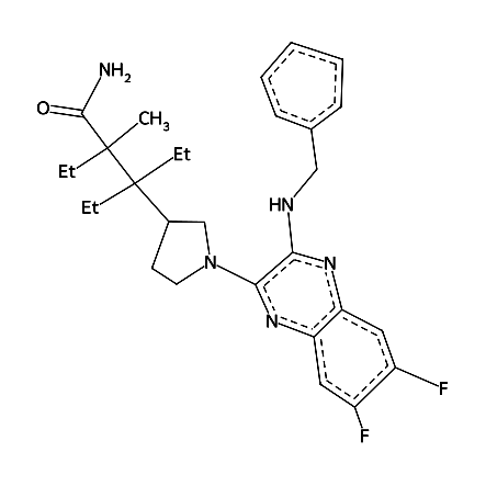 CCC(C)(C(N)=O)C(CC)(CC)C1CCN(c2nc3cc(F)c(F)cc3nc2NCc2ccccc2)C1